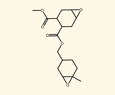 COC(=O)C1CC2OC2CC1C(=O)OCC1CCC2(C)OC2C1